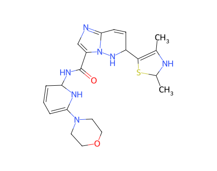 CC1=C(C2C=Cc3ncc(C(=O)NC4C=CC=C(N5CCOCC5)N4)n3N2)SC(C)N1